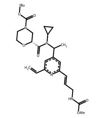 C=Cc1cc(C(C)N(C(=O)[C@H]2CN(C(=O)OC(C)(C)C)CCO2)C2CC2)cc(/C=C/CNC(=O)OC)n1